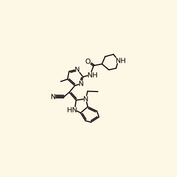 CCN1C(=C(C#N)c2nc(NC(=O)C3CCNCC3)ncc2C)Nc2ccccc21